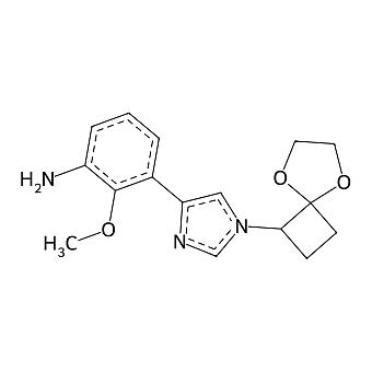 COc1c(N)cccc1-c1cn(C2CCC23OCCO3)cn1